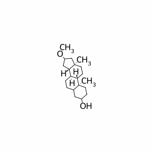 COC1C[C@H]2[C@@H]3CCC4CC(O)CC[C@]4(C)[C@H]3CC[C@]2(C)C1